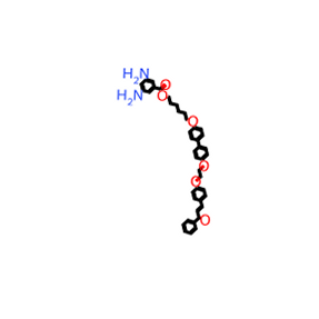 Nc1cc(N)cc(C(=O)OCCCCCCOc2ccc(-c3ccc(OCCOc4ccc(/C=C/C(=O)c5ccccc5)cc4)cc3)cc2)c1